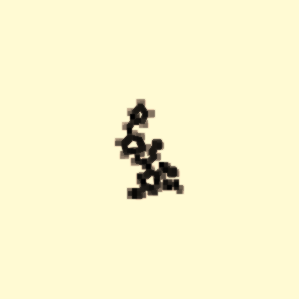 Nc1nc(S)nc(N(CC=O)Cc2ccc(CN3CCCC3)cc2)c1N=O